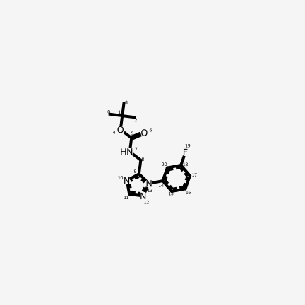 CC(C)(C)OC(=O)NCc1ncnn1-c1cccc(F)c1